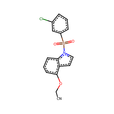 N#CCOc1cccc2c1ccn2S(=O)(=O)c1cccc(Cl)c1